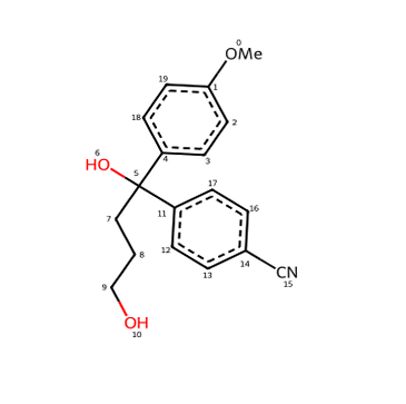 COc1ccc(C(O)(CCCO)c2ccc(C#N)cc2)cc1